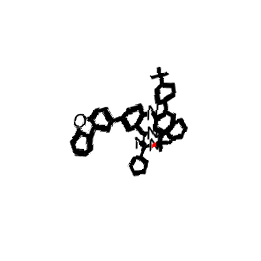 CC(C)(C)c1ccc2c3ccc(C(C)(C)C)cc3n(-c3ccc(-c4ccc5oc6ccccc6c5c4)cc3-c3nc(-c4ccccc4)nc(-c4ccccc4)n3)c2c1